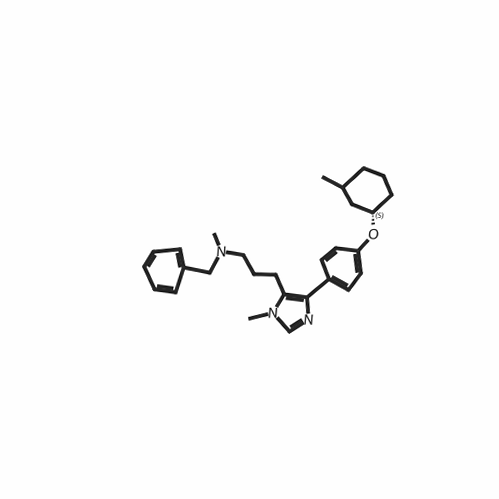 CC1CCC[C@H](Oc2ccc(-c3ncn(C)c3CCCN(C)Cc3ccccc3)cc2)C1